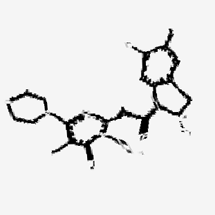 C[C@H]1Cc2cc(F)c(F)cc2N1C(=O)Cc1nc(N2CCOCC2)c(F)c(=O)n1C